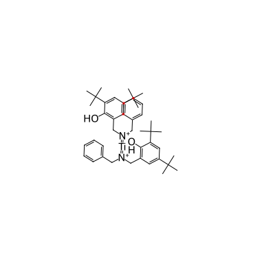 CC(C)(C)c1cc(C[N+](Cc2ccccc2)=[Ti]=[N+](Cc2ccccc2)Cc2cc(C(C)(C)C)cc(C(C)(C)C)c2O)c(O)c(C(C)(C)C)c1